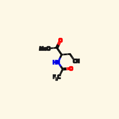 COC(=O)C(CC#N)NC(=O)C(F)(F)F